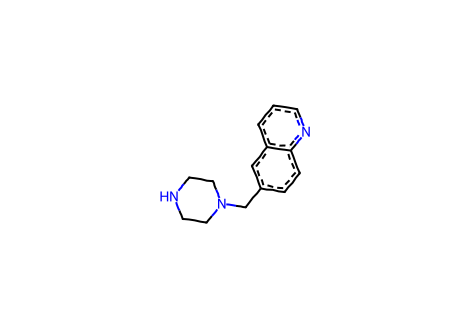 c1cnc2ccc(CN3CCNCC3)cc2c1